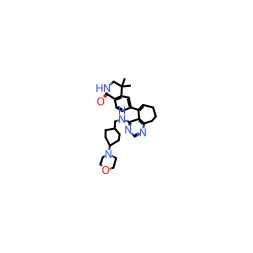 CC1(C)CNC(=O)c2ccc(C3=CCCCc4ncnc(NCC5CCC(N6CCOCC6)CC5)c43)cc21